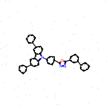 c1ccc(-c2cccc(-c3nnc(-c4ccc(-n5c6ccc(-c7ccccc7)cc6c6cc(-c7ccccc7)ccc65)cc4)o3)c2)cc1